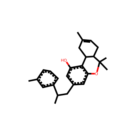 CC1=CCC2C(C1)c1c(O)cc(CC(C)c3cccc(C)c3)cc1OC2(C)C